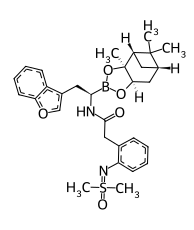 CC1(C)[C@@H]2C[C@H]3OB([C@H](Cc4coc5ccccc45)NC(=O)Cc4ccccc4N=S(C)(C)=O)O[C@@]3(C)[C@H]1C2